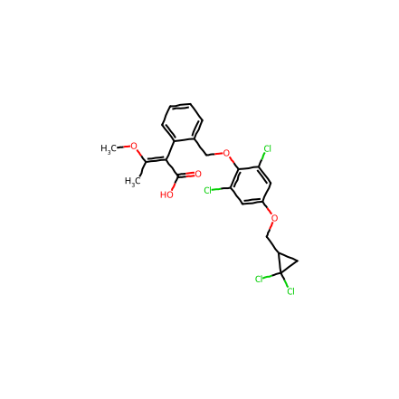 COC(C)=C(C(=O)O)c1ccccc1COc1c(Cl)cc(OCC2CC2(Cl)Cl)cc1Cl